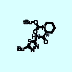 CCC(C)c1nnc(NC(=O)[C@@H]2CCCCN2C(=O)OC(C)(C)C)s1